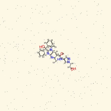 CCc1nc2nc(C(O)(c3ccccc3)c3ccccc3)n(CC)c2cc1C(=O)Nc1cnn(CCO)c1